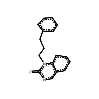 O=c1ncc2ccccc2n1CCCc1ccccc1